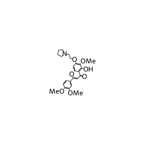 COc1ccc(-c2cc(=O)c3c(O)c(OC)c(OCCN4CCCC4)cc3o2)cc1OC